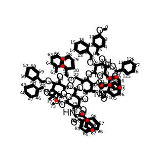 COc1ccc(CO[C@@H]2C(OCc3ccccc3)[C@H](O[C@@H]3C(COCc4ccccc4)O[C@@H](O[C@@H]4C(CO[C@@H]5O[C@@H](C)[C@@H](OCc6ccccc6)C(OCc6ccccc6)C5OCc5ccccc5)O[C@H](O[Si](C)(C)C(C)(C)C)C(NS(=O)(=O)c5ccccc5)[C@H]4OCc4ccccc4)C(NS(=O)(=O)c4ccccc4)[C@@H]3OCc3ccccc3)OC3COC(c4ccccc4)O[C@H]32)cc1